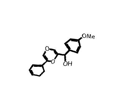 COc1ccc(C(O)C2=COC=C(C3=CC=CCC3)O2)cc1